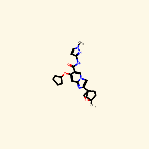 Cn1ccc(NC(=O)c2cn3cc(C45CCC(C)(C4)OC5)nc3cc2OC2CCCC2)n1